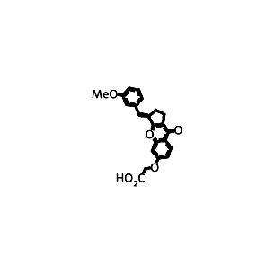 COc1cccc(C=C2CCc3c2oc2cc(OCC(=O)O)ccc2c3=O)c1